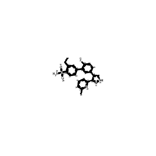 CCc1cc(-c2cc(-c3c[nH]nc3-c3cccc(C)n3)ccc2F)ccc1S(N)(=O)=O